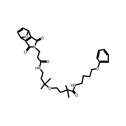 CC(C)(CCNC(=O)CCN1C(=O)C2=C(C1=O)C1C=CC2O1)OCCC(C)(C)C(=O)NCCCCOc1ccccc1